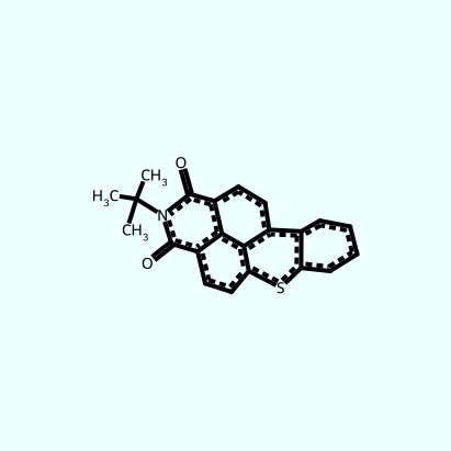 CC(C)(C)n1c(=O)c2ccc3sc4ccccc4c4ccc(c1=O)c2c34